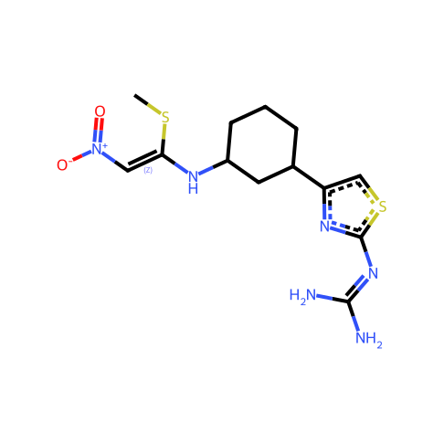 CS/C(=C\[N+](=O)[O-])NC1CCCC(c2csc(N=C(N)N)n2)C1